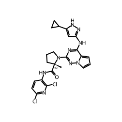 C[C@@]1(C(=O)Nc2ccc(Cl)nc2Cl)CCCN1c1nc(Nc2cc(C3CC3)[nH]n2)c2cccn2n1